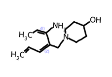 C=C/C=C(CN1CCC(O)CC1)\C(N)=C/C